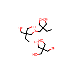 CCC(CO)(CO)COCC(CC)(CO)CO.OCC(CO)(CO)CO